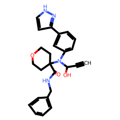 C#CC(O)N(c1cccc(-c2cc[nH]n2)c1)C1(C(=O)NCc2ccccc2)CCOCC1